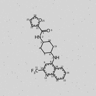 O=C(NC1CCC(Nc2cc(C(F)(F)F)nc3ccccc23)CC1)c1ccco1